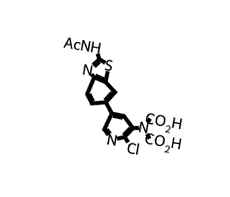 CC(=O)Nc1nc2ccc(-c3cnc(Cl)c(N(C(=O)O)C(=O)O)c3)cc2s1